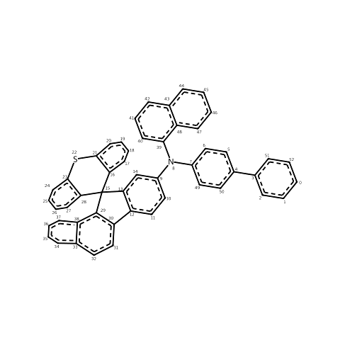 c1ccc(-c2ccc(N(c3ccc4c(c3)C3(c5ccccc5Sc5ccccc53)c3c-4ccc4ccccc34)c3cccc4ccccc34)cc2)cc1